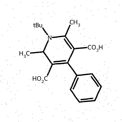 CC1=C(C(=O)O)C(c2ccccc2)=C(C(=O)O)C(C)N1C(C)(C)C